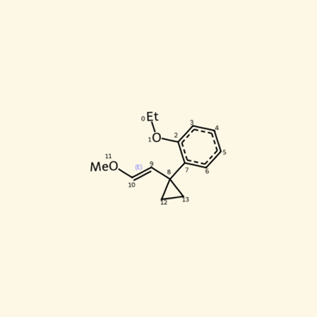 CCOc1ccccc1C1(/C=C/OC)CC1